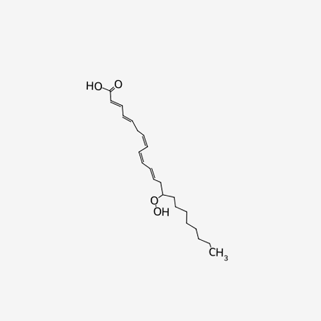 CCCCCCCCC(C/C=C/C=C\C=C/CC=CC=CC(=O)O)OO